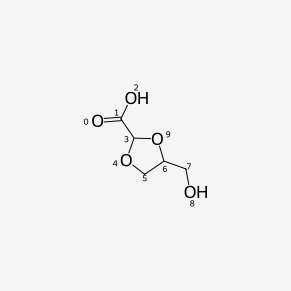 O=C(O)C1OCC(CO)O1